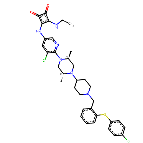 C[C@@H]1CN(c2ncc(Nc3c(NCC(F)(F)F)c(=O)c3=O)cc2Cl)[C@@H](C)CN1C1CCN(Cc2ccccc2Sc2ccc(Cl)cc2)CC1